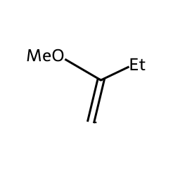 [CH]=C(CC)OC